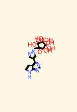 OC1(O)C(O)(O)C2(O)OC2(Cn2cc(-c3ncnc4[nH]ccc34)cn2)C1(O)O